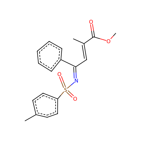 COC(=O)/C(C)=C/C(=N/S(=O)(=O)c1ccc(C)cc1)c1ccccc1